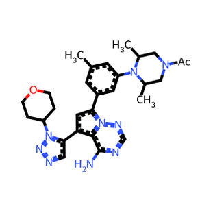 CC(=O)N1CC(C)N(c2cc(C)cc(-c3cc(-c4cnnn4C4CCOCC4)c4c(N)ncnn34)c2)C(C)C1